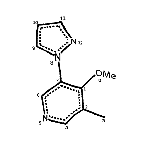 COc1c(C)cncc1-n1cccn1